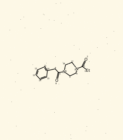 CCC(=O)N1CCN(C(=O)Cc2ccccc2)CC1